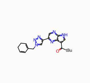 CC(C)(C)C(=O)c1c[nH]c2ncc(-c3cn(CC4=CCCC=C4)nn3)nc12